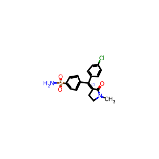 CN1CC/C(=C(/c2ccc(Cl)cc2)c2ccc(S(N)(=O)=O)cc2)C1=O